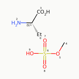 CC[C@H](N)C(=O)O.COS(=O)(=O)O